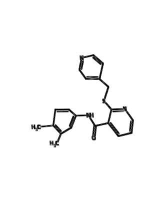 Cc1ccc(NC(=O)c2cccnc2SCc2ccncc2)cc1C